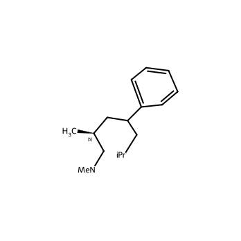 CNC[C@@H](C)CC(CC(C)C)c1ccccc1